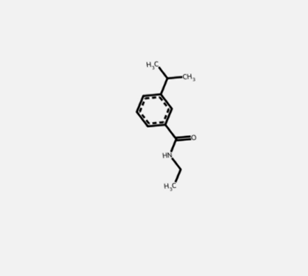 CCNC(=O)c1cccc(C(C)C)c1